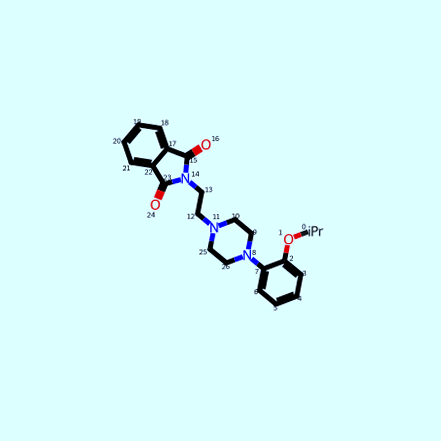 CC(C)Oc1ccccc1N1CCN(CCN2C(=O)c3ccccc3C2=O)CC1